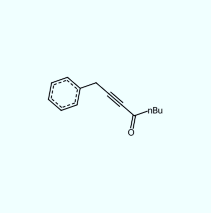 CCCCC(=O)C#CCc1ccccc1